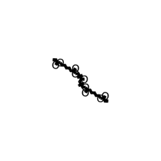 C=CC(=O)OCCCCCC(=O)OCC(C)(C)CC(=O)C(C)(C)COC(=O)CCCCCOC(=O)C=C